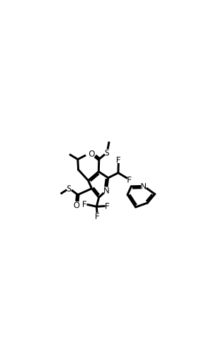 CSC(=O)c1c(C(F)F)nc(C(F)(F)F)c(C(=O)SC)c1CC(C)C.c1ccncc1